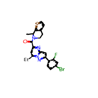 CCc1cc(C(=O)N2CCc3ccsc3C2C)nc2cc(-c3ccc(Br)cc3F)nn12